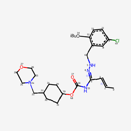 C/C=C/C(=N\NCc1cc(Cl)ccc1OCC(C)C)NC(=O)OC1CCC(CN2CCOCC2)CC1